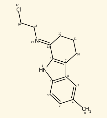 Cc1ccc2[nH]c3c(c2c1)CCCC3=NCCCl